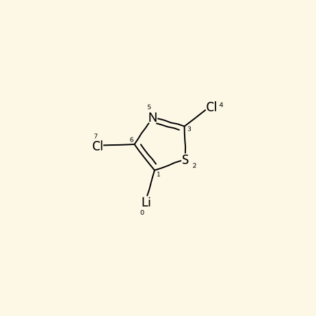 [Li][c]1sc(Cl)nc1Cl